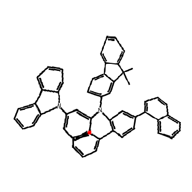 CC1(C)c2ccccc2-c2ccc(N(c3cccc(-n4c5ccccc5c5ccccc54)c3)c3cc(-c4cccc5ccccc45)ccc3-c3ccccc3)cc21